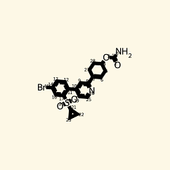 NC(=O)OC1CC=C(c2cc(-c3ccc(Br)cc3S(=O)(=O)C3CC3)ccn2)CC1